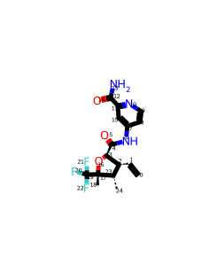 C=C[C@H]1[C@H](C(=O)Nc2ccnc(C(N)=O)c2)O[C@@](C)(C(F)(F)F)[C@H]1C